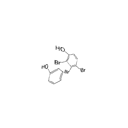 Oc1ccc(Br)c(Br)c1Br.Oc1ccccc1